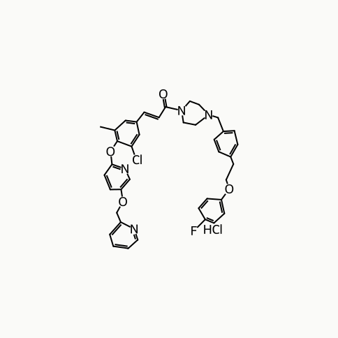 Cc1cc(C=CC(=O)N2CCN(Cc3ccc(CCOc4ccc(F)cc4)cc3)CC2)cc(Cl)c1Oc1ccc(OCc2ccccn2)cn1.Cl